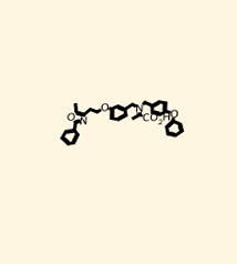 Cc1oc(-c2ccccc2)nc1CCOc1cccc(CN(Cc2ccc(Oc3ccccc3)cc2)[C@H](C)C(=O)O)c1